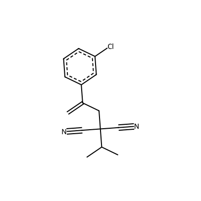 C=C(CC(C#N)(C#N)C(C)C)c1cccc(Cl)c1